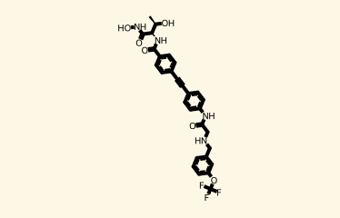 C[C@@H](O)[C@H](NC(=O)c1ccc(C#Cc2ccc(NC(=O)CNCc3cccc(OC(F)(F)F)c3)cc2)cc1)C(=O)NO